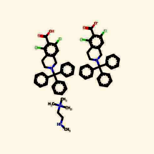 CNCC[N+](C)(C)C.O=C(O)c1c(Cl)cc2c(c1Cl)CCN(C(c1ccccc1)(c1ccccc1)c1ccccc1)C2.O=C([O-])c1c(Cl)cc2c(c1Cl)CCN(C(c1ccccc1)(c1ccccc1)c1ccccc1)C2